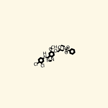 COc1cc2c(Nc3ccc(Cl)c(Cl)c3)ncnc2cc1OCC1CN(S(=O)(=O)c2ccccc2)CCO1